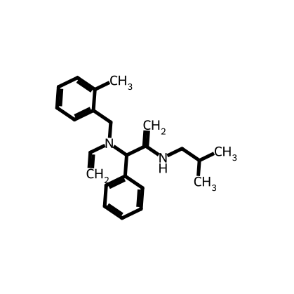 C=CN(Cc1ccccc1C)C(C(=C)NCC(C)C)c1ccccc1